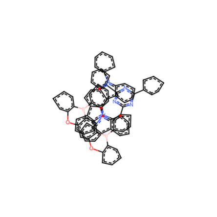 c1ccc(-c2nc(-c3ccccc3)nc(-c3cccc4c5ccccc5n(-c5ccccc5B5c6ccccc6Oc6cc7c(cc65)B(c5ccccc5-n5c6ccccc6c6ccc8c(c9ccccc9n8-c8ccccc8)c65)c5ccccc5O7)c34)n2)cc1